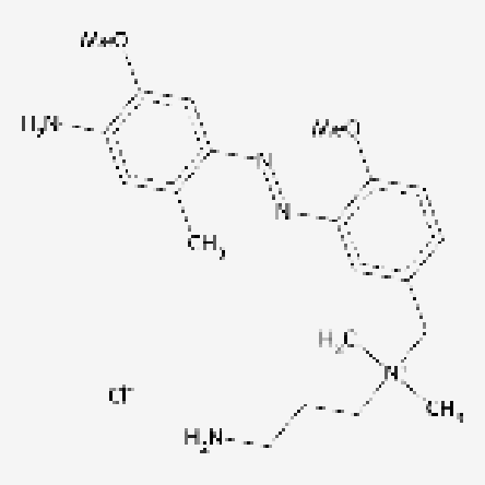 COc1cc(N=Nc2cc(C[N+](C)(C)CCCN)ccc2OC)c(C)cc1N.[Cl-]